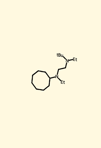 CCN(CCN(CC)C(C)(C)C)C1CCCCCCC1